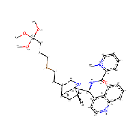 CO[Si](CCCSCCC1CN2CCC1C[C@H]2[C@@H](NC(=O)c1cccc[n+]1C)c1ccnc2ccccc12)(OC)OC